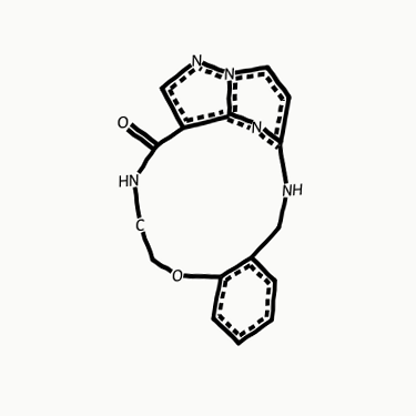 O=C1NCCOc2ccccc2CNc2ccn3ncc1c3n2